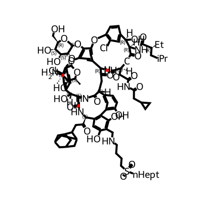 CCCCCCCS(=O)(=O)CCCCNCc1c(O)cc2c(c1O)-c1cc(ccc1O)[C@H]1CC(=O)[C@@H]3NC(=O)[C@H](CC(=O)NC(=O)CC4CC4)CC(=O)[C@H](NC(=O)[C@H](CC)CC(C)C)[C@H](O)c4ccc(c(Cl)c4)Oc4cc3cc(c4O[C@@H]3O[C@H](CO)[C@@H](O)[C@H](O)[C@H]3O[C@H]3C[C@](C)(N)[C@H](O)[C@H](C)O3)Oc3ccc(cc3Cl)[C@@H](O)[C@H](NC1=O)C(=O)N[C@@H]2C(=O)CC1C2CC3CC(C2)CC1C3